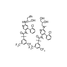 CC(C)C[C@@H](CO)Nc1cc(-c2ccccc2Cl)c(N(C)C(=O)C(C)(C)c2cc(C(F)(F)F)cc(C(F)(F)F)c2)cn1.CN(CC(O)CO)c1cc(-c2ccccc2Cl)c(N(C)C(=O)C(C)(C)c2cc(C(F)(F)F)cc(C(F)(F)F)c2)cn1